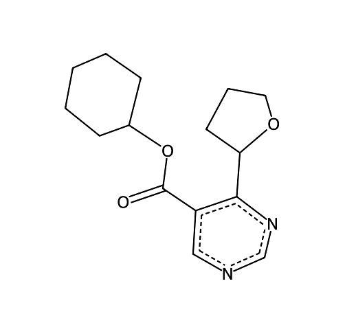 O=C(OC1CCCCC1)c1cncnc1C1CCCO1